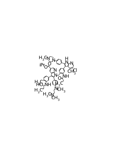 C=CC(=O)Nc1cc(-c2c(-c3ccc(N4CCN(C)CC4)cc3)[nH]c3ncc(Cl)c(C)c23)ccc1Cn1c(-c2ccc(N(C)CCN(C)C)cc2)c(-c2ccc(C)c(NC(O)C=C)c2)c2cc(C(=O)OC(C)C)cnc21